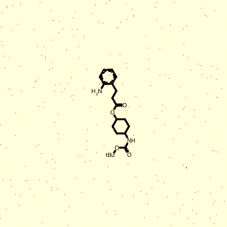 CC(C)(C)OC(=O)NC1CCC(OC(=O)CCc2ccccc2N)CC1